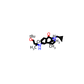 C[C@H]1[C@H]2C(=O)c3ccc(NC(C)(C)CCOC(C)(C)C)cc3[C@@]1(C)CCN2CC1CC1